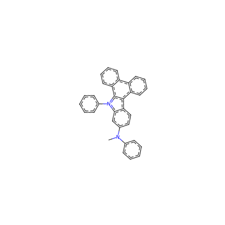 CN(c1ccccc1)c1ccc2c3c4ccccc4c4ccccc4c3n(-c3ccccc3)c2c1